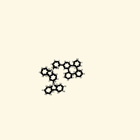 c1cc(-c2ccc3c(c2)-c2ccccc2-c2ccccc2-c2ccccc2-3)nc(-n2c3ccccc3c3cc(-n4c5ccccc5c5ccccc54)ccc32)c1